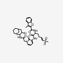 CCC1CC2CCCN(C2)C1NC(=O)Cn1cccc(NC(=O)C(CC/C=C/S(C)(=O)=O)NC(=O)c2oc3ccccc3c2C)c1=O